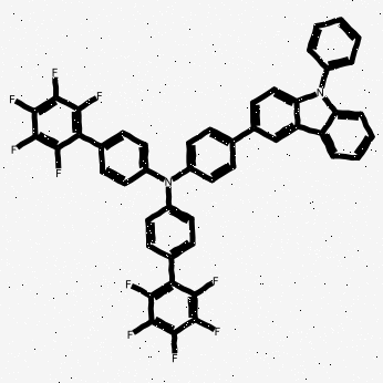 Fc1c(F)c(F)c(-c2ccc(N(c3ccc(-c4ccc5c(c4)c4ccccc4n5-c4ccccc4)cc3)c3ccc(-c4c(F)c(F)c(F)c(F)c4F)cc3)cc2)c(F)c1F